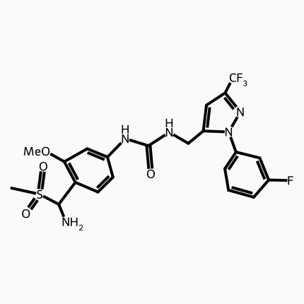 COc1cc(NC(=O)NCc2cc(C(F)(F)F)nn2-c2cccc(F)c2)ccc1C(N)S(C)(=O)=O